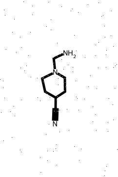 N#CC1CCN(CN)CC1